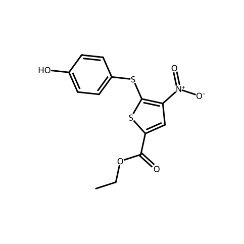 CCOC(=O)c1cc([N+](=O)[O-])c(Sc2ccc(O)cc2)s1